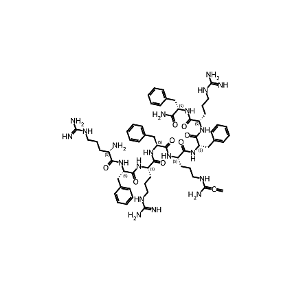 C=C=C(N)NCCC[C@H](NC(=O)[C@H](Cc1ccccc1)NC(=O)[C@H](CCCNC(=N)N)NC(=O)[C@H](Cc1ccccc1)NC(=O)[C@@H](N)CCCNC(=N)N)C(=O)N[C@@H](Cc1ccccc1)C(=O)N[C@@H](CCCNC(=N)N)C(=O)N[C@@H](Cc1ccccc1)C(N)=O